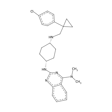 CN(C)c1nc(N[C@H]2CC[C@@H](NCC3(c4ccc(Cl)cc4)CC3)CC2)nc2ccccc12